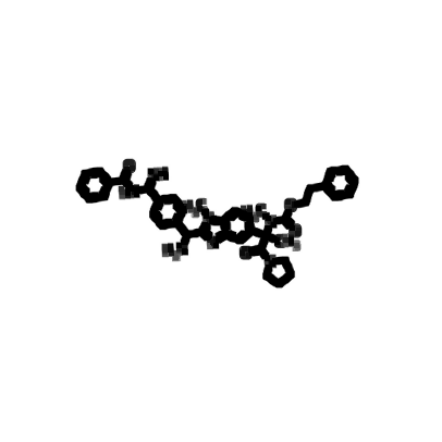 CN(C(=O)OCCc1ccccc1)C(C)(C(=O)N1CCCC1)c1ccc2c(c1)nc(C(N)c1ccc(C(=N)NC(=O)c3ccccc3)cc1)n2C